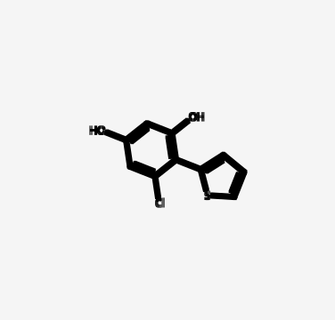 Oc1cc(O)c(-c2cccs2)c(Cl)c1